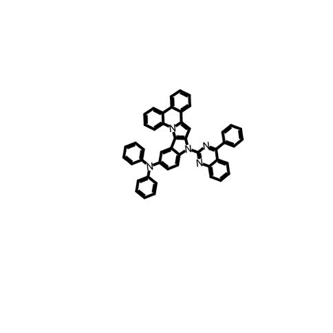 c1ccc(-c2nc(-n3c4ccc(N(c5ccccc5)c5ccccc5)cc4c4c3cc3c5ccccc5c5ccccc5n34)nc3ccccc23)cc1